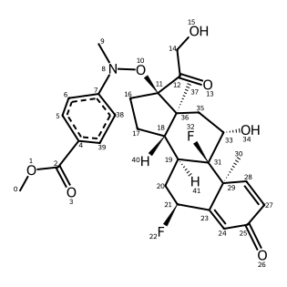 COC(=O)c1ccc(N(C)O[C@]2(C(=O)CO)CC[C@H]3[C@@H]4C[C@H](F)C5=CC(=O)C=C[C@]5(C)[C@@]4(F)[C@@H](O)C[C@@]32C)cc1